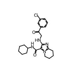 O=C(CNc1nc2n(c1C(=O)NC1CCCCC1)CCCC2)c1cccc(Cl)c1